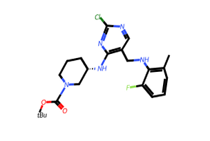 Cc1cccc(F)c1NCc1cnc(Cl)nc1N[C@H]1CCCN(C(=O)OC(C)(C)C)C1